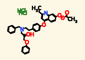 CCc1cc(Oc2ccc(CCN(Cc3ccccc3)C[C@H](O)COc3ccccc3)cc2)c2ccc(OOC(C)=O)cc2n1.Cl.Cl